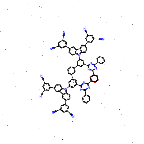 N#Cc1cc(C#N)cc(-c2ccc3c(c2)c2cc(-c4cc(C#N)cc(C#N)c4)ccc2n3-c2cc(-c3cccc(-c4cc(-c5nc(-c6ccccc6)nc(-c6ccccc6)n5)cc(-n5c6ccc(-c7cc(C#N)cc(C#N)c7)cc6c6cc(-c7cc(C#N)cc(C#N)c7)ccc65)c4)c3)cc(-c3nc(-c4ccccc4)nc(-c4ccccc4)n3)c2)c1